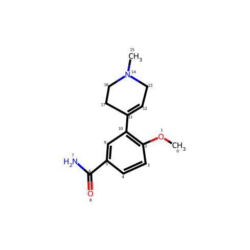 COc1ccc(C(N)=O)cc1C1=CCN(C)CC1